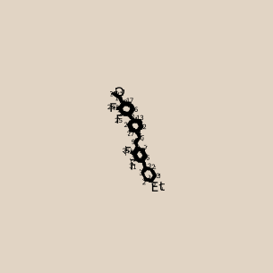 CCC1CCC(c2ccc(CCc3ccc(-c4ccc(C5CO5)c(F)c4F)cc3)c(F)c2F)CC1